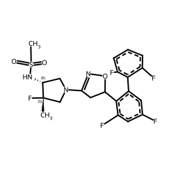 C[C@]1(F)CN(C2=NOC(c3c(F)cc(F)cc3-c3c(F)cccc3F)C2)C[C@H]1NS(C)(=O)=O